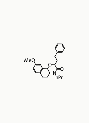 CCCN1C(=O)C(CCc2ccccc2)OC2c3cc(OC)ccc3CCC21